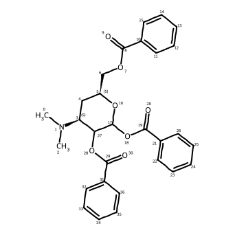 CN(C)[C@H]1C[C@@H](COC(=O)c2ccccc2)OC(OC(=O)c2ccccc2)C1OC(=O)c1ccccc1